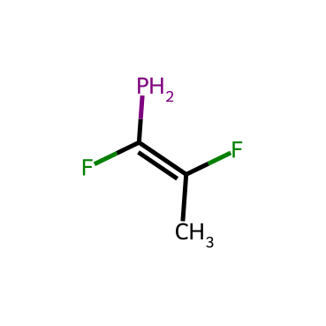 C/C(F)=C(\F)P